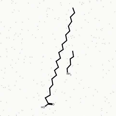 CCCCCCCCCCCCCCCCCCCCCC(=O)O.CCCCCN